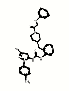 Cc1ccc(-n2nc(C(C)(C)C)cc2NC(=O)Nc2ccccc2CC2CCN(C(=O)CNc3ccccc3)CC2)cc1